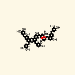 Oc1ccc(Cc2cc3cc(Cc4ccc(O)c(O)c4)c(O)c(Cc4c(O)c(Cc5ccc(O)c(OOc6ccc(Cc7ccc(O)c8ccc(Cc9ccc(O)c(O)c9)c(O)c78)cc6O)c5)cc5cc(Cc6ccc(O)c(O)c6)c(O)cc45)c3cc2O)cc1O